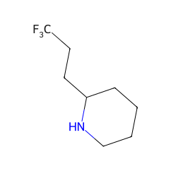 FC(F)(F)CCC1CCCCN1